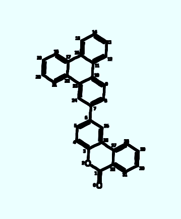 O=c1oc2ccc(-c3ccc4c5ccccc5c5ccccc5c4c3)cc2c2ccccc12